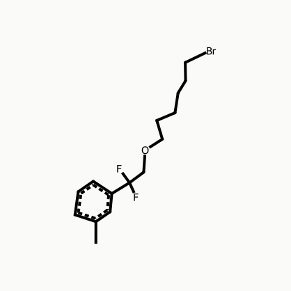 Cc1cccc(C(F)(F)COCCCCCCBr)c1